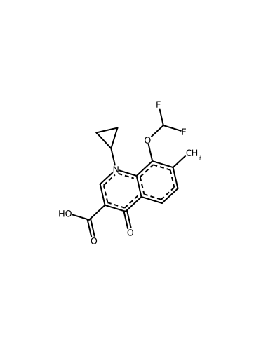 Cc1ccc2c(=O)c(C(=O)O)cn(C3CC3)c2c1OC(F)F